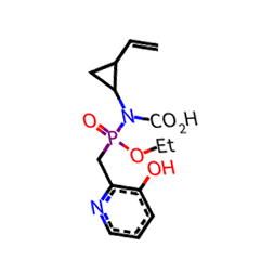 C=CC1CC1N(C(=O)O)P(=O)(Cc1ncccc1O)OCC